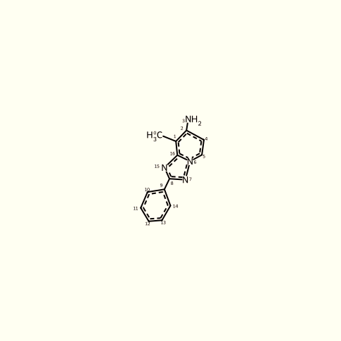 Cc1c(N)ccn2nc(-c3ccccc3)nc12